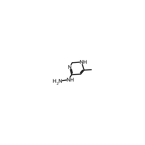 CC1=CC(NN)=NCN1